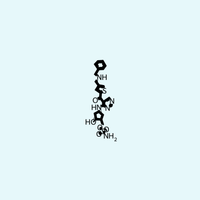 NS(=O)(=O)OCC1C[C@@H](Nc2ncncc2C(=O)c2cc(CNCc3ccccc3)cs2)C[C@@H]1O